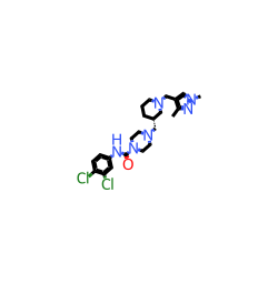 Cc1nn(C)cc1CN1CCC[C@@H](CN2CCN(C(=O)Nc3ccc(Cl)c(Cl)c3)CC2)C1